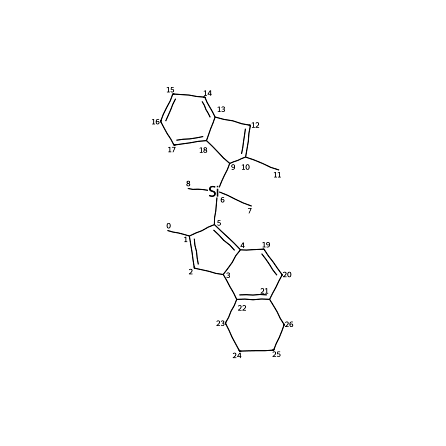 CC1=CC2C(=C1[Si](C)(C)C1C(C)=Cc3ccccc31)C=CC1=C2CCCC1